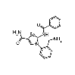 NCc1ccccc1N1C=C(C(N)=O)[Se]C1NC(=O)c1ccccc1